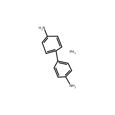 Nc1ccc(-c2ccc(N)cc2)cc1.P